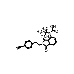 CC(C)(C)N(C(=O)O)C1C=CCC2C(=O)N(CCc3ccc(C#N)cc3)C(=O)C21